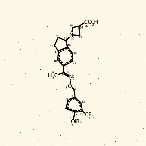 C/C(=N\OCc1ccc(OCC(C)C)c(C(F)(F)F)c1)c1ccc2c(c1)CCC2N1CC(C(=O)O)C1